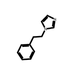 [c]1cn(CCc2ccccc2)cn1